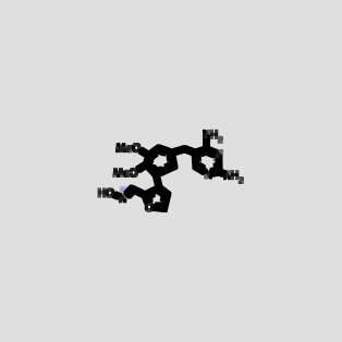 COc1cc(Cc2cnc(N)nc2N)cc(-c2ccoc2/C=N/O)c1OC